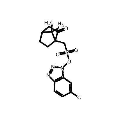 CC1(C)C2CCC1(CS(=O)(=O)On1nnc3ccc(Cl)cc31)C(=O)C2